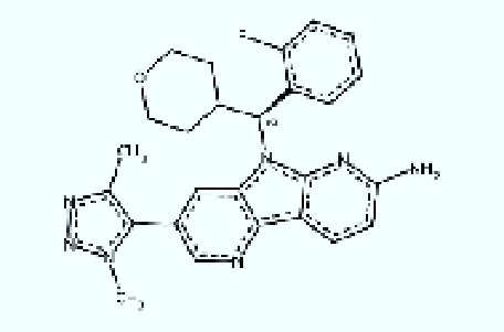 Cc1nnn(C)c1-c1cnc2c3ccc(N)nc3n([C@H](c3ccccc3F)C3CCOCC3)c2c1